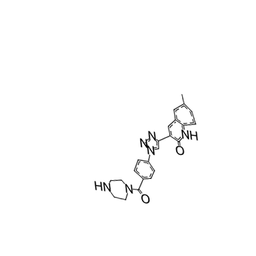 Cc1ccc2[nH]c(=O)c(-c3cn(-c4ccc(C(=O)N5CCNCC5)cc4)nn3)cc2c1